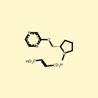 CN1CCC[C@H]1COc1cnccn1.O=C(O)C=CC(=O)O